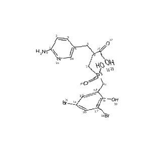 Nc1ccc(CC(CP(=O)(O)Cc2cc(Br)cc(Br)c2O)C(=O)O)cn1